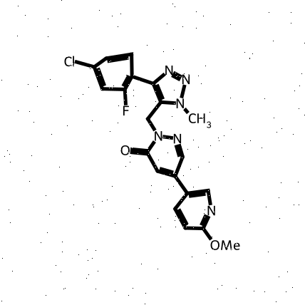 COc1ccc(-c2cnn(Cc3c(-c4ccc(Cl)cc4F)nnn3C)c(=O)c2)cn1